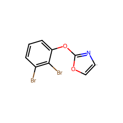 Brc1cccc(Oc2n[c]co2)c1Br